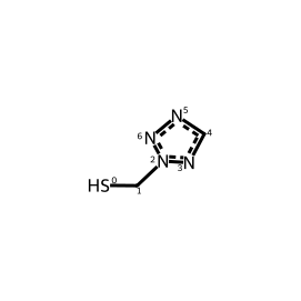 SCn1ncnn1